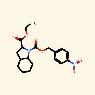 CCOC(=O)C1CC2CCCCC2N1C(=O)OCc1ccc([N+](=O)[O-])cc1